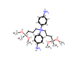 CO[Si](C)(CCC[N+](CCC[Si](C)(OC)OC)(c1ccc(N)cc1)c1ccc(N)cc1)OC